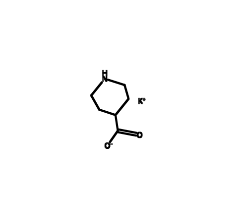 O=C([O-])C1CCNCC1.[K+]